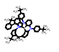 CC(C)(C)c1ccc(N2c3ccc4cc3B3c5c2cccc5N(c2ccc(C(C)(C)C)cc2)c2c3n(c3c5c(ccc23)C(C)(C)c2ccccc2-5)-c2ccc(C(C)(C)C)c(c2)C4(C)C)cc1